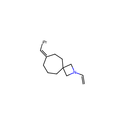 C=CN1CC2(CCC/C(=C/C(C)C)CC2)C1